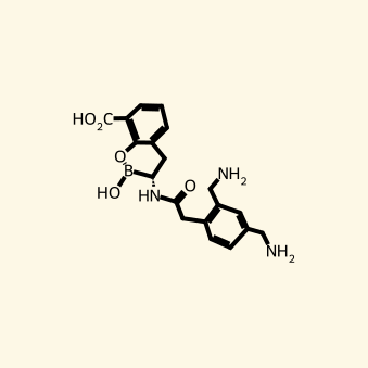 NCc1ccc(CC(=O)N[C@H]2Cc3cccc(C(=O)O)c3OB2O)c(CN)c1